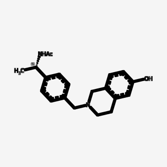 CC(=O)N[C@@H](C)c1ccc(CN2CCc3cc(O)ccc3C2)cc1